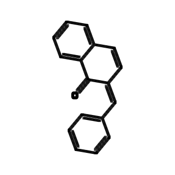 O=C1C(=Cc2ccccc2)C=Cc2ccccc21